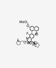 COCOc1cc(-c2c(Cl)cc3c(N4CC5CCC(C4)N5C(=O)O)nc(OCC4CCCN4C)nc3c2F)c2c(F)cccc2c1